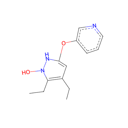 CCC1=C(CC)N(O)NC(Oc2cccnc2)=C1